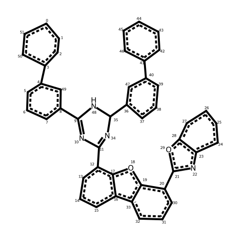 c1ccc(-c2cccc(C3=NC(c4cccc5c4oc4c(-c6nc7ccccc7o6)cccc45)=NC(c4cccc(-c5ccccc5)c4)N3)c2)cc1